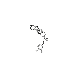 O=C(/C=C/c1ccc(Cl)c(Cl)c1)N1CCN(Cc2cc3cnccc3[nH]2)C(=O)C1